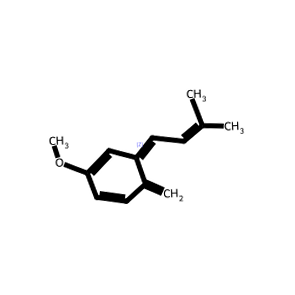 C=c1ccc(OC)c/c1=C/C=C(C)C